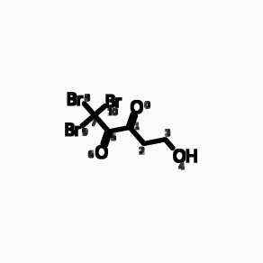 O=C(CCO)C(=O)C(Br)(Br)Br